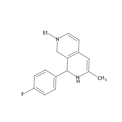 CCN1C=CC2=C(C1)C(c1ccc(F)cc1)NC(C)=C2